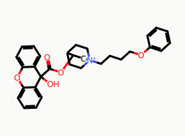 O=C(OC1C[N+]2(CCCCOc3ccccc3)CCC1CC2)C1(O)c2ccccc2Oc2ccccc21